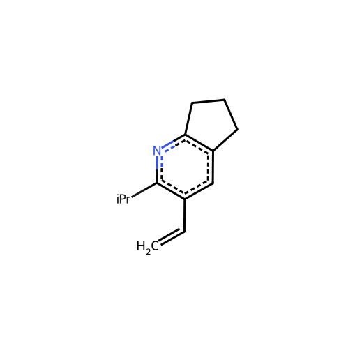 C=Cc1cc2c(nc1C(C)C)CCC2